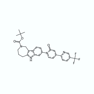 CC(C)(C)OC(=O)N1CCCc2[nH]c3cc(-n4ccc(-c5ccc(C(F)(F)F)cn5)cc4=O)ccc3c2C1